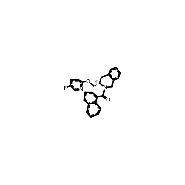 O=C(c1cccc2ccccc12)N1Cc2ccccc2C[C@H]1COc1ccc(F)cn1